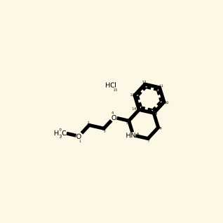 COCCOC1NCCc2ccccc21.Cl